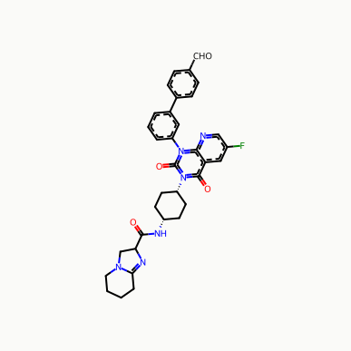 O=Cc1ccc(-c2cccc(-n3c(=O)n([C@H]4CC[C@@H](NC(=O)C5CN6CCCCC6=N5)CC4)c(=O)c4cc(F)cnc43)c2)cc1